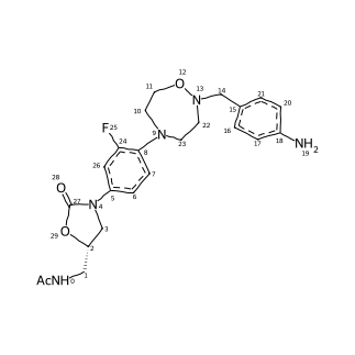 CC(=O)NC[C@H]1CN(c2ccc(N3CCON(Cc4ccc(N)cc4)CC3)c(F)c2)C(=O)O1